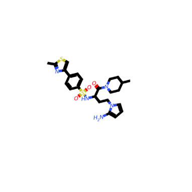 Cc1nc(-c2ccc(S(=O)(=O)NC(CCn3cccc3N)C(=O)N3CCC(C)CC3)cc2)cs1